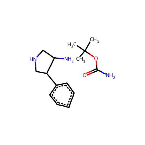 CC(C)(C)OC(N)=O.NC1CNCC1c1ccccc1